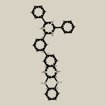 c1ccc(-c2nc(-c3ccccc3)nc(-c3cccc(-c4ccc5nc6c(nc5c4)Oc4ccccc4O6)c3)n2)cc1